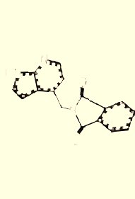 O=C1c2ccccc2C(=O)N1Cc1ccnc2[nH]ccc12